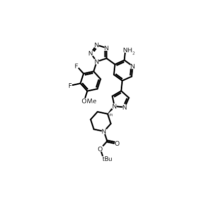 COc1ccc(-n2nnnc2-c2cc(-c3cnn([C@@H]4CCCN(C(=O)OC(C)(C)C)C4)c3)cnc2N)c(F)c1F